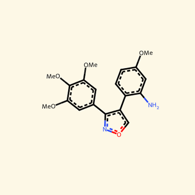 COc1ccc(-c2conc2-c2cc(OC)c(OC)c(OC)c2)c(N)c1